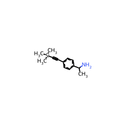 CC(N)c1ccc(C#C[Si](C)(C)C)cc1